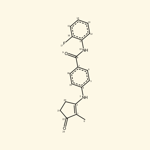 CC1=C(Nc2ccc(C(=O)Nc3ccccc3F)cc2)CCC1=O